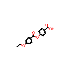 CCOc1ccc(C(=O)Oc2ccc(C(=O)O)cc2)cc1